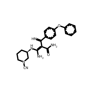 N#CN1CCC[C@@H](N/C(N)=C(\C(=N)c2ccc(Oc3ccccc3)cc2)C(N)=O)C1